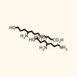 NCCCC(N)CCCO.NCCCC(N)CCCO.O=C(O)CCC(=O)O